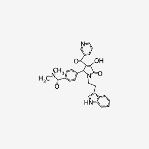 CN(C)C(=O)c1ccc(C2C(C(=O)c3cccnc3)=C(O)C(=O)N2CCc2c[nH]c3ccccc23)cc1